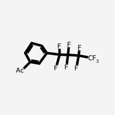 CC(=O)c1cccc(C(F)(F)C(F)(F)C(F)(F)C(F)(F)F)c1